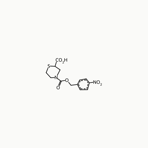 O=C(O)C1CN(C(=O)OCc2ccc([N+](=O)[O-])cc2)CCS1